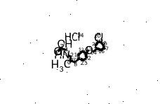 C[C@@H](CNCC(=O)O)Cc1ccc(OCc2cccc(Cl)c2)cc1.Cl